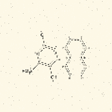 O=S(=O)(O)c1cc(O)ccc1O.c1ccc2ccccc2c1